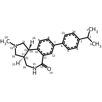 CC(C)c1ccc(-c2ccc3c(c2)C(=O)NC[C@H]2CN(C)C[C@H]32)cc1